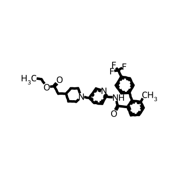 CCOC(=O)CC1CCN(c2ccc(NC(=O)c3cccc(C)c3-c3ccc(C(F)(F)F)cc3)nc2)CC1